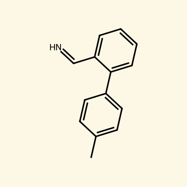 Cc1ccc(-c2ccccc2C=N)cc1